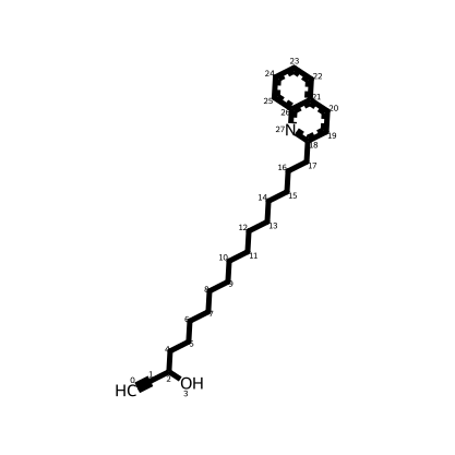 C#CC(O)CCCCCCCCCCCCCCc1ccc2ccccc2n1